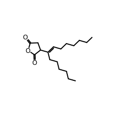 CCCCCCC=C(CCCCCC)C1CC(=O)OC1=O